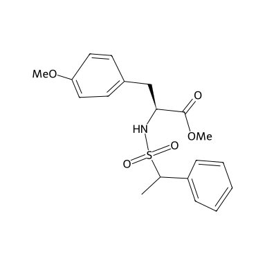 COC(=O)[C@H](Cc1ccc(OC)cc1)NS(=O)(=O)C(C)c1ccccc1